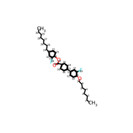 CCCCCCCCOc1ccc(-c2ccc(C(=O)Oc3ccc(CCCCCCCC)cc3F)cc2)cc1F